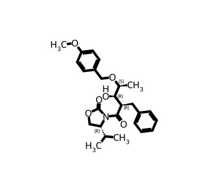 COc1ccc(CO[C@@H](C)[C@H](O)[C@@H](Cc2ccccc2)C(=O)N2C(=O)OC[C@H]2C(C)C)cc1